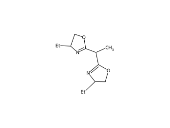 CCC1COC(C(C)C2=NC(CC)CO2)=N1